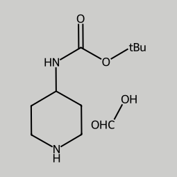 CC(C)(C)OC(=O)NC1CCNCC1.O=CO